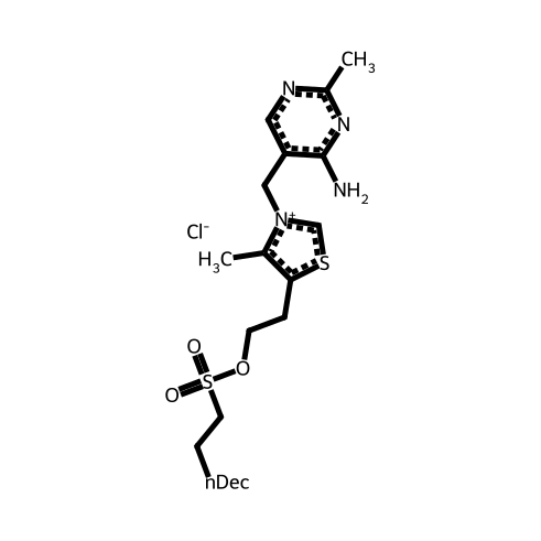 CCCCCCCCCCCCS(=O)(=O)OCCc1sc[n+](Cc2cnc(C)nc2N)c1C.[Cl-]